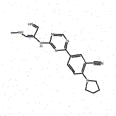 CN/C=C(\C=N)Nc1ncnc(-c2ccc(N3CCCC3)c(C#N)c2)n1